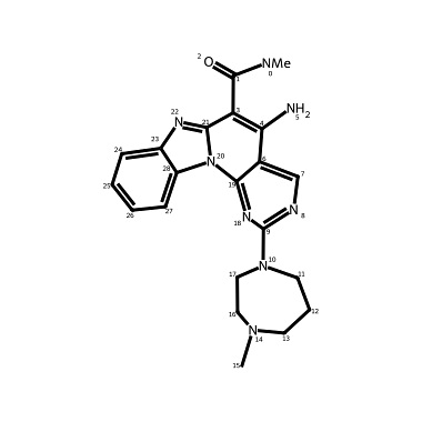 CNC(=O)c1c(N)c2cnc(N3CCCN(C)CC3)nc2n2c1nc1ccccc12